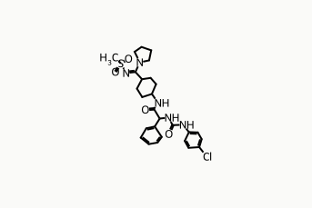 CS(=O)(=O)N=C(C1CCC(NC(=O)C(NC(=O)Nc2ccc(Cl)cc2)c2ccccc2)CC1)N1CCCC1